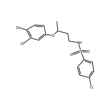 CC(CCNS(=O)(=O)c1ccc(Cl)cc1)Oc1ccc(Cl)c(Cl)c1